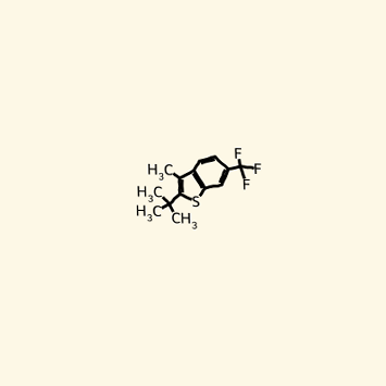 Cc1c(C(C)(C)C)sc2cc(C(F)(F)F)ccc12